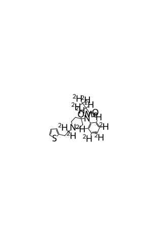 [2H]c1c([2H])c([2H])c(N(C(=O)C([2H])([2H])C([2H])([2H])[2H])C2(OC)CCN(C([2H])([2H])Cc3cccs3)CC2)c([2H])c1[2H]